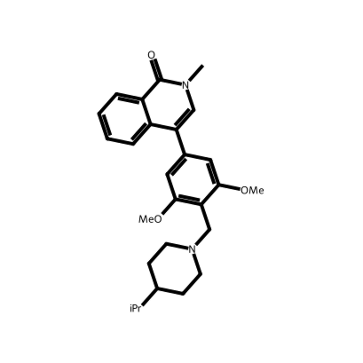 COc1cc(-c2cn(C)c(=O)c3ccccc23)cc(OC)c1CN1CCC(C(C)C)CC1